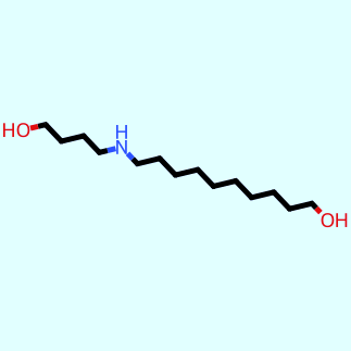 OCCCCCCCCCCNCCCCO